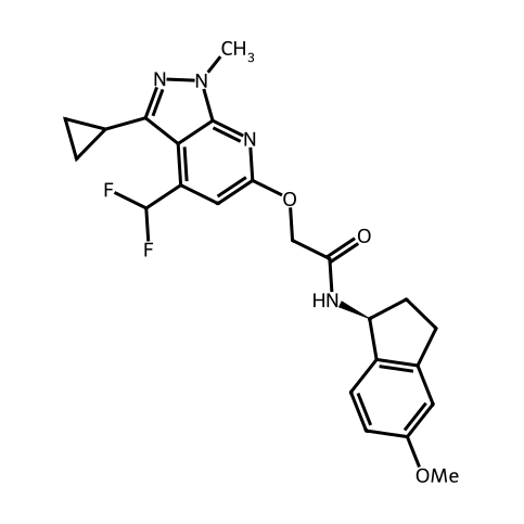 COc1ccc2c(c1)CC[C@@H]2NC(=O)COc1cc(C(F)F)c2c(C3CC3)nn(C)c2n1